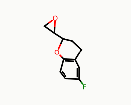 Fc1ccc2c(c1)CCC(C1CO1)O2